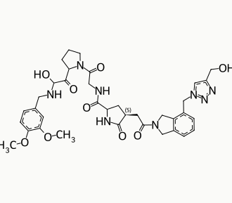 COc1ccc(CNC(O)C(=O)C2CCCN2C(=O)CNC(=O)C2C[C@@H](CC(=O)N3Cc4cccc(Cn5cc(CO)nn5)c4C3)C(=O)N2)cc1OC